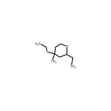 CCOC1(C)CCOC(CC)C1